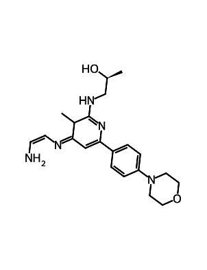 CC1C(NC[C@H](C)O)=NC(c2ccc(N3CCOCC3)cc2)=C/C1=N/C=C\N